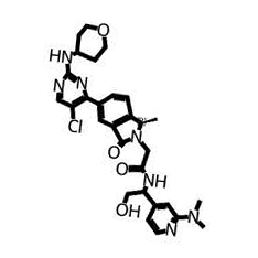 C[C@@H]1c2ccc(-c3nc(NC4CCOCC4)ncc3Cl)cc2C(=O)N1CC(=O)NC(CO)c1ccnc(N(C)C)c1